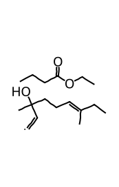 CCCC(=O)OCC.[CH]=CC(C)(O)CC/C=C(\C)CC